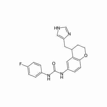 O=C(Nc1ccc(F)cc1)Nc1ccc2c(c1)C(Cc1c[nH]cn1)CCO2